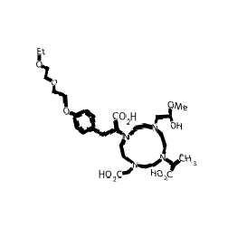 CCOCCOCCOc1ccc(CC(C(=O)O)N2CCN(CC(=O)O)CCN(C(C)C(=O)O)CCN(CC(O)OC)CC2)cc1